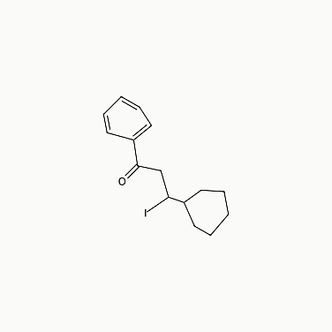 O=C(CC(I)C1CCCCC1)c1ccccc1